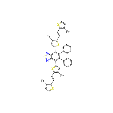 CCc1ccsc1/C=C/c1sc(-c2c(-c3ccccc3)c(-c3ccccc3)c(-c3cc(CC)c(/C=C/c4sccc4CC)s3)c3nsnc23)cc1CC